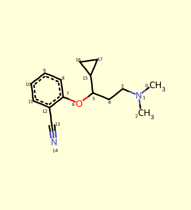 CN(C)CCC(Oc1ccccc1C#N)C1CC1